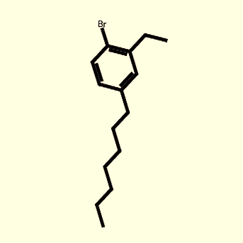 CCCCCCCc1ccc(Br)c(CC)c1